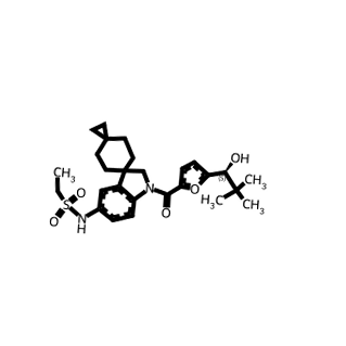 CCS(=O)(=O)Nc1ccc2c(c1)C1(CCC3(CC3)CC1)CN2C(=O)c1ccc([C@@H](O)C(C)(C)C)o1